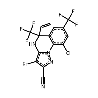 C=CC1(C(F)(F)F)Nc2c(Br)c(C#N)nn2-c2c(Cl)cc(C(F)(F)F)cc21